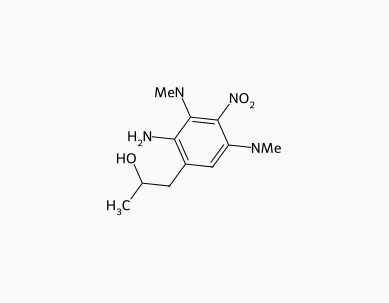 CNc1cc(CC(C)O)c(N)c(NC)c1[N+](=O)[O-]